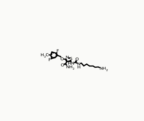 Cc1cc(F)c(COc2nsc(NC(=O)NCCCCCCCN)c2C(N)=O)cc1F